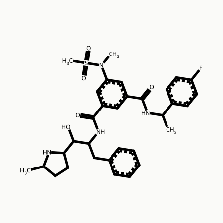 CC1CCC(C(O)C(Cc2ccccc2)NC(=O)c2cc(C(=O)NC(C)c3ccc(F)cc3)cc(N(C)S(C)(=O)=O)c2)N1